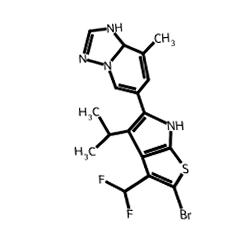 CC1=CC(c2[nH]c3sc(Br)c(C(F)F)c3c2C(C)C)=CN2N=CNC12